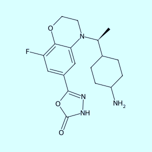 C[C@@H](C1CCC(N)CC1)N1CCOc2c(F)cc(-c3n[nH]c(=O)o3)cc21